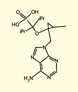 CC1CC1(Cn1cnc2c(N)ncnc21)OC(C(C)C)(C(C)C)P(=O)(O)O